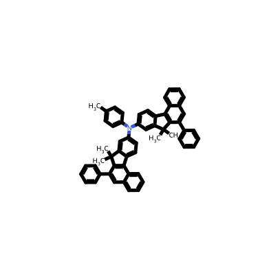 Cc1ccc(N(c2ccc3c(c2)C(C)(C)c2c(-c4ccccc4)cc4ccccc4c2-3)c2ccc3c(c2)C(C)(C)c2c(-c4ccccc4)cc4ccccc4c2-3)cc1